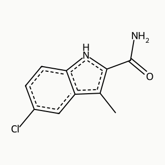 Cc1c(C(N)=O)[nH]c2ccc(Cl)cc12